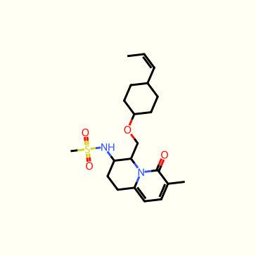 C/C=C\C1CCC(OCC2C(NS(C)(=O)=O)CCc3ccc(C)c(=O)n32)CC1